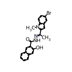 C/C(=N\NC(=O)c1cc2ccccc2cc1O)c1cc2cc(Br)ccc2n1C